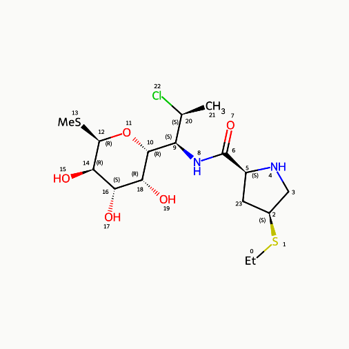 CCS[C@@H]1CN[C@H](C(=O)N[C@@H]([C@H]2O[C@H](SC)[C@H](O)[C@@H](O)[C@H]2O)[C@H](C)Cl)C1